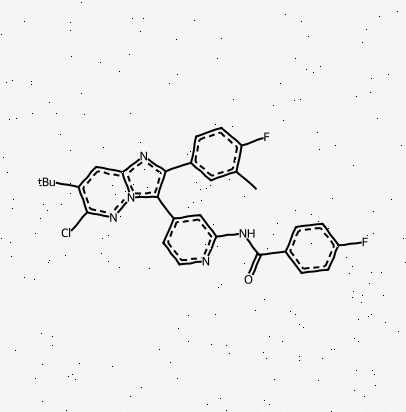 Cc1cc(-c2nc3cc(C(C)(C)C)c(Cl)nn3c2-c2ccnc(NC(=O)c3ccc(F)cc3)c2)ccc1F